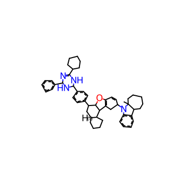 CC12CCCCCC1c1ccccc1N2C1C=CC2=C(C1)C1C(O2)C(c2ccc(C3NC(C4CCCCC4)=NC(c4ccccc4)N3)cc2)C[C@@H]2CCCCC12